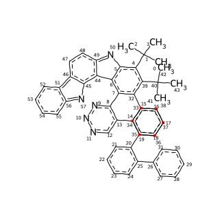 CC(C)(C)c1c2c(c(-c3nnncc3-c3ccccc3-c3ccccc3-c3ccccc3)c(-c3ccccc3)c1C(C)(C)C)-c1c3c(ccc1=N2)=c1ccccc1=N3